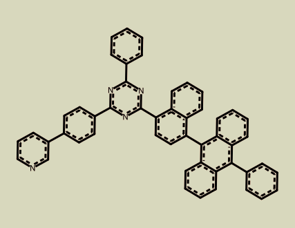 c1ccc(-c2nc(-c3ccc(-c4cccnc4)cc3)nc(-c3ccc(-c4c5ccccc5c(-c5ccccc5)c5ccccc45)c4ccccc34)n2)cc1